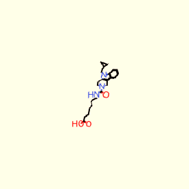 O=C(O)CCCCCCNC(=O)N1CCc2c(c3ccccc3n2CC2CC2)C1